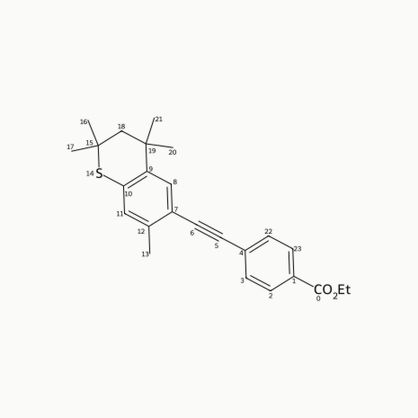 CCOC(=O)c1ccc(C#Cc2cc3c(cc2C)SC(C)(C)CC3(C)C)cc1